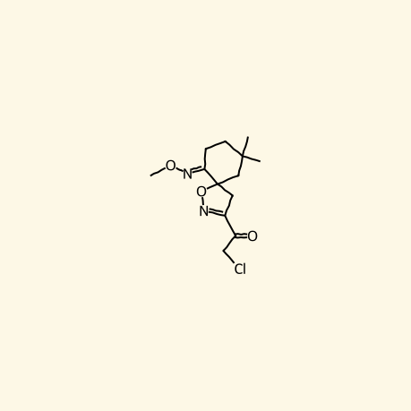 CON=C1CCC(C)(C)CC12CC(C(=O)CCl)=NO2